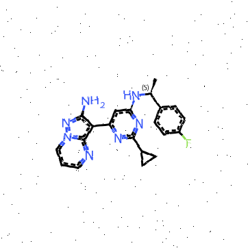 C[C@H](Nc1cc(-c2c(N)nn3cccnc23)nc(C2CC2)n1)c1ccc(F)cc1